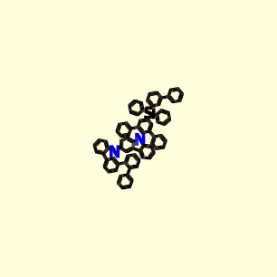 c1ccc(-c2cccc([Si](c3ccccc3)(c3ccccc3)c3cc(-c4ccccc4)c(-n4c5ccccc5c5cc(-n6c7ccccc7c7cccc(-c8ccccc8-c8ccccc8)c76)ccc54)c(-c4ccccc4)c3)c2)cc1